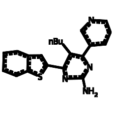 CCCCc1c(-c2cccnc2)nc(N)nc1-c1cc2ccccc2s1